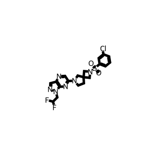 O=S(=O)(c1cccc(Cl)c1)N1CC2(CCN(c3cnc4cnn(CC(F)F)c4n3)C2)C1